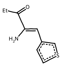 CCC(=O)/C(N)=C/c1ccsc1